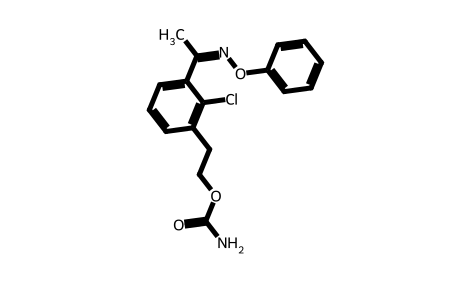 C/C(=N/Oc1ccccc1)c1cccc(CCOC(N)=O)c1Cl